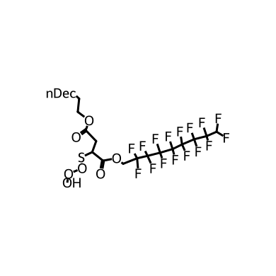 CCCCCCCCCCCCOC(=O)CC(SOOO)C(=O)OCC(F)(F)C(F)(F)C(F)(F)C(F)(F)C(F)(F)C(F)(F)C(F)(F)C(F)F